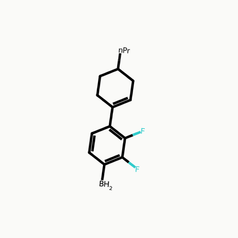 Bc1ccc(C2=CCC(CCC)CC2)c(F)c1F